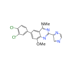 CNc1nc(-c2cnccn2)nc2c(OC)cc(-c3ccc(Cl)c(Cl)c3)cc12